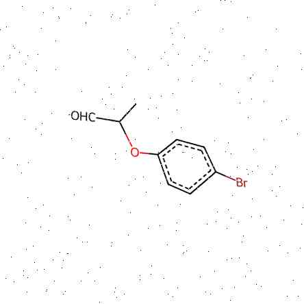 CC([C]=O)Oc1ccc(Br)cc1